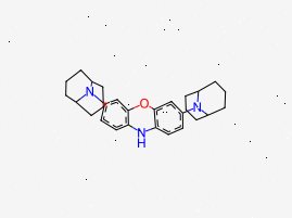 c1cc2c(cc1N1C3CCCC1CCC3)Oc1cc(N3C4CCCC3CCC4)ccc1N2